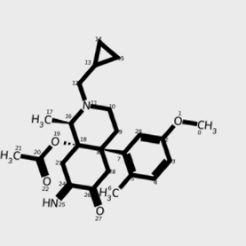 COc1ccc(C)c([C@]23CCN(CC4CC4)[C@H](C)[C@]2(OC(C)=O)CC(=N)C(=O)C3)c1